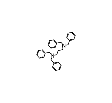 c1ccc(CN(CCCN(Cc2ccccc2)Cc2ccccc2)Cc2ccccc2)cc1